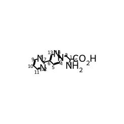 N[C@@H](C[n+]1ccc(-c2ncccn2)cn1)C(=O)O